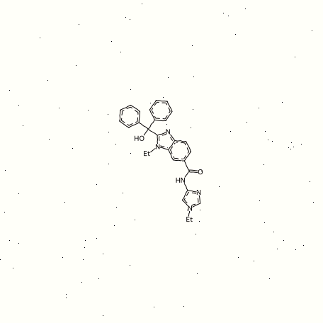 CCn1cnc(NC(=O)c2ccc3nc(C(O)(c4ccccc4)c4ccccc4)n(CC)c3c2)c1